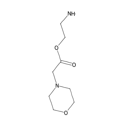 [NH]CCOC(=O)CN1CCOCC1